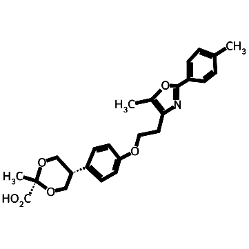 Cc1ccc(-c2nc(CCOc3ccc([C@H]4CO[C@@](C)(C(=O)O)OC4)cc3)c(C)o2)cc1